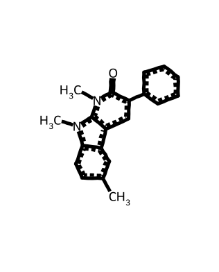 Cc1ccc2c(c1)c1cc(-c3ccccc3)c(=O)n(C)c1n2C